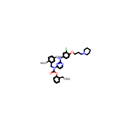 COCc1ccccc1OC(=O)N(Cc1cc(OC)ccc1OC)c1ccnc(Nc2ccc(OCCCN3CCCCC3)c(F)c2)n1